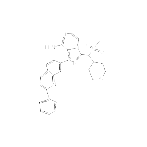 CS(=O)(=O)C(c1nc(-c2ccc3ccc(-c4ccccc4)nc3c2)c2c(N)nccn12)C1CCNCC1